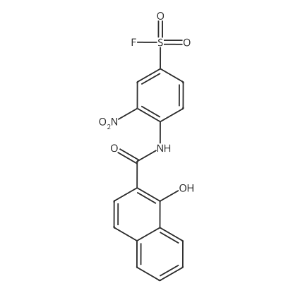 O=C(Nc1ccc(S(=O)(=O)F)cc1[N+](=O)[O-])c1ccc2ccccc2c1O